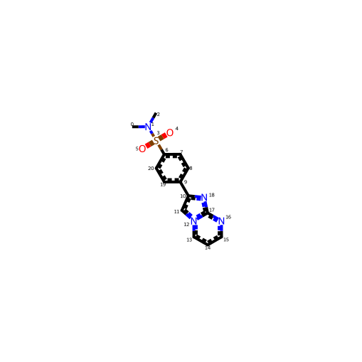 CN(C)S(=O)(=O)c1ccc(-c2cn3cccnc3n2)cc1